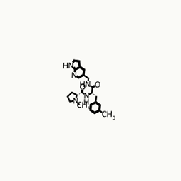 Cc1cccc(C[C@H](NC(=O)[C@H]2CCCN2C)C(=O)NCc2cnc3[nH]ccc3c2)c1